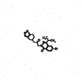 CC(C)c1nn(CC(=O)CC2CCc3nncn3C2)c(=O)c2ccc(Br)cc12